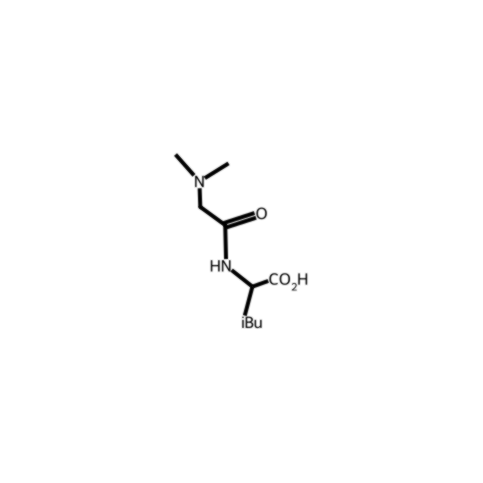 CCC(C)C(NC(=O)CN(C)C)C(=O)O